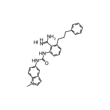 Cn1ccc2cc(NC(=O)Nc3cccc(CCCc4ccccc4)c3C(=N)N)ccc21.I